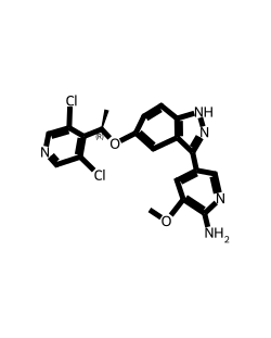 COc1cc(-c2n[nH]c3ccc(O[C@H](C)c4c(Cl)cncc4Cl)cc23)cnc1N